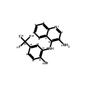 Nc1cnc2ccccc2c1Nc1cc(C(F)(F)F)ccc1Br